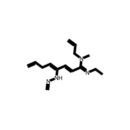 C=CC/C=C(/C=C/C(=N/CC)N(C)CC=C)NN=C